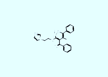 CC(/C(C(=N)c1ccccc1)=C(\N)NCCn1ccnc1)=C(/N)c1ccccc1